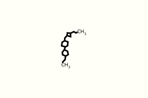 CCCC1CCC(C2CCC(CC3CC(CCC)C3)CC2)CC1